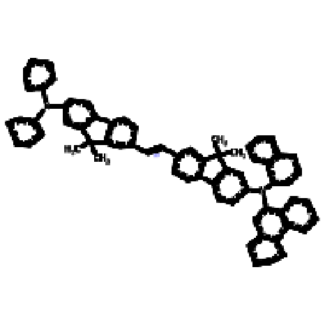 CC1(C)c2cc(/C=C/c3ccc4c(c3)C(C)(C)c3cc(N(c5cccc6ccccc56)c5cc6ccccc6c6ccccc56)ccc3-4)ccc2-c2ccc(N(c3ccccc3)c3ccccc3)cc21